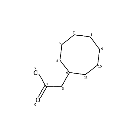 O=C(Cl)CC1CCCCCCC1